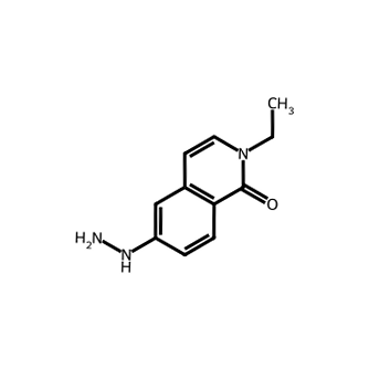 CCn1ccc2cc(NN)ccc2c1=O